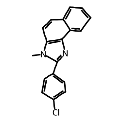 Cn1c(-c2ccc(Cl)cc2)nc2c3ccccc3ccc21